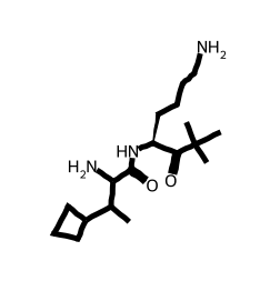 CC(C1CCC1)C(N)C(=O)N[C@@H](CCCCN)C(=O)C(C)(C)C